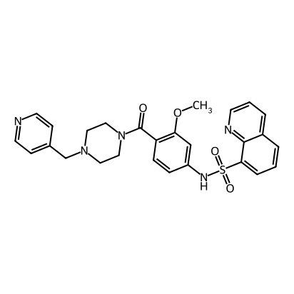 COc1cc(NS(=O)(=O)c2cccc3cccnc23)ccc1C(=O)N1CCN(Cc2ccncc2)CC1